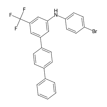 FC(F)(F)c1cc(Nc2ccc(Br)cc2)cc(-c2ccc(-c3ccccc3)cc2)c1